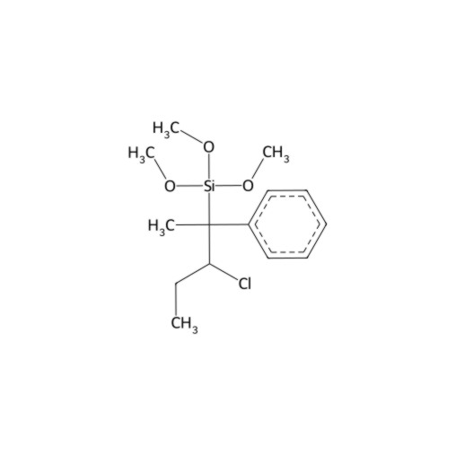 CCC(Cl)C(C)(c1ccccc1)[Si](OC)(OC)OC